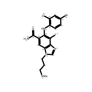 CNCCCn1cnc2c(F)c(Nc3ccc(Br)cc3Cl)c(C(N)=O)cc21